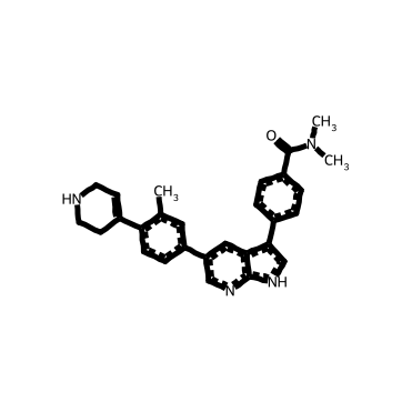 Cc1cc(-c2cnc3[nH]cc(-c4ccc(C(=O)N(C)C)cc4)c3c2)ccc1C1=CCNCC1